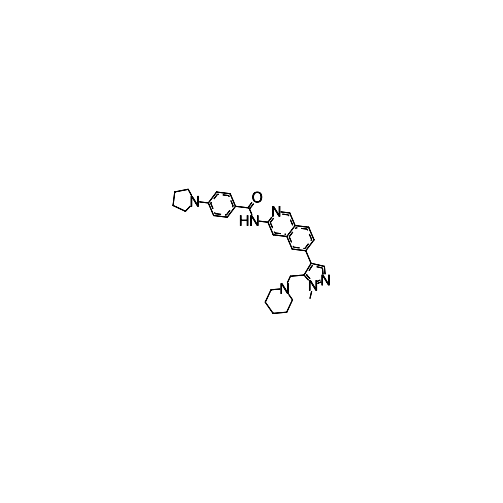 Cn1ncc(-c2ccc3cnc(NC(=O)c4ccc(N5CCCC5)cc4)cc3c2)c1CN1CCCCC1